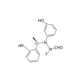 CCCc1ccccc1[C@@H](C)N(c1cccc(O)c1)N(F)C=O